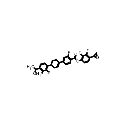 CC(O)c1ccc(C2CC=C(c3ccc(C(=O)Oc4ccc(C5CO5)c(F)c4F)c(F)c3)CC2)c(F)c1F